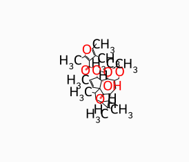 CC1=CC23C(=O)[C@@H](C=C4COC(C)(C)O[C@H]4[C@]2(O)[C@H]1OC(=O)c1c(C)oc(C)c1C)[C@H]1[C@@H](CC3C)C1(C)C